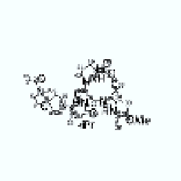 C=CC(=O)N1CCOC2(CCN(C(=O)N(C)[C@H](C(=O)N[C@H]3CN(CC)C(CNC(=C)[C@H](C)OC)C(C)(C)COC(=O)[C@@H]4CCCN(N4)C3=O)C(C)C)CC2)C1